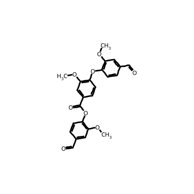 COc1cc(C=O)ccc1OC(=O)c1ccc(Oc2ccc(C=O)cc2OC)c(OC)c1